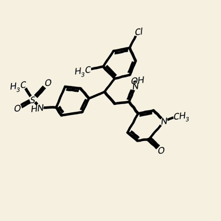 Cc1cc(Cl)ccc1C(C/C(=N\O)c1ccc(=O)n(C)c1)c1ccc(NS(C)(=O)=O)cc1